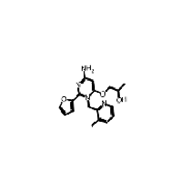 Cc1cccnc1CN1C(OCC(C)O)=CC(N)=NC1c1ccco1